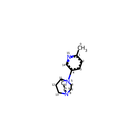 Cc1ccc(N2CCN3CCC2CC3)cn1